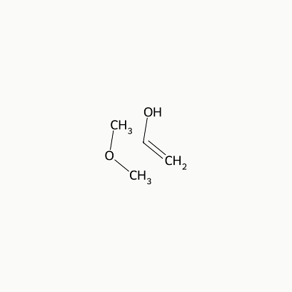 C=CO.COC